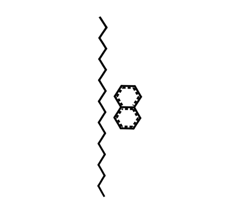 CCCCCCCCCCCCCCCCCC.c1ccc2ccccc2c1